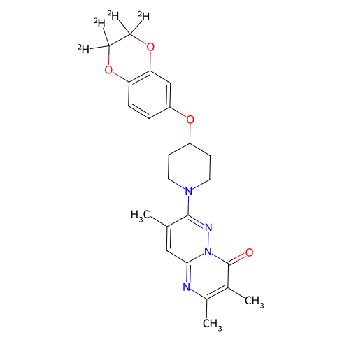 [2H]C1([2H])Oc2ccc(OC3CCN(c4nn5c(=O)c(C)c(C)nc5cc4C)CC3)cc2OC1([2H])[2H]